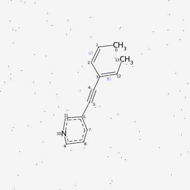 C/C=C\C(C#Cc1cccnc1)=C/C